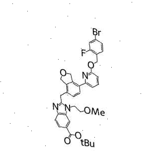 COCCn1c(Cc2ccc(-c3cccc(OCc4ccc(Br)cc4F)n3)c3c2COC3)nc2ccc(C(=O)OC(C)(C)C)cc21